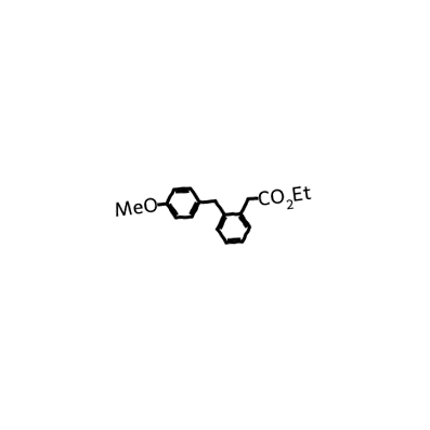 CCOC(=O)Cc1ccccc1Cc1ccc(OC)cc1